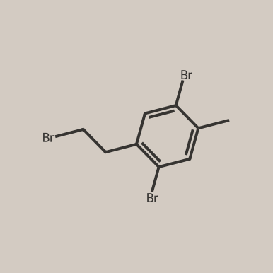 Cc1cc(Br)c(CCBr)cc1Br